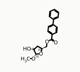 CO[C@H]1O[C@H](COC(=O)c2ccc(-c3ccccc3)cc2)C[C@H]1O